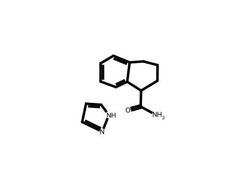 NC(=O)C1CCCc2ccccc21.c1cn[nH]c1